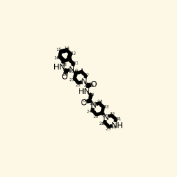 O=C(CNC(=O)N1CCC(N2Cc3ccccc3NC2=O)CC1)N1CCC(N2CCNCC2)CC1